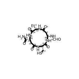 CC[C@@H]1NC(=O)C[C@H](NC=O)NC(=O)[C@H](CS)NC(=O)C[C@H](C(N)=O)NC1=O